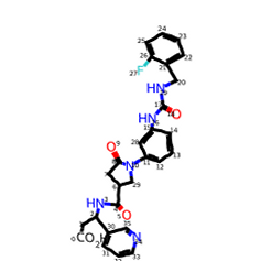 O=C(O)CC(NC(=O)C1CC(=O)N(c2cccc(NC(=O)NCc3ccccc3F)c2)C1)c1cccnc1